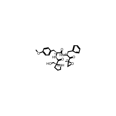 COc1ccc(C[C@H](NC(=O)[C@@]2(CO)CCCN2)C(=O)N[C@@H](Cc2ccccc2)C(=O)[C@@]2(C)CO2)cc1